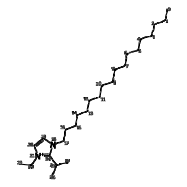 CCCCCCCCCCCCCCCCCCn1cc[n+](CC)c1C(C)C